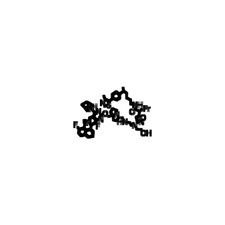 C#Cc1c(F)ccc2cccc(-c3ncc4c(N5CC6CCC(C5)N6)nc(OCC56CCCN5[C@@H](CNCCN(CCO)c5cc(C(C(=O)NCCCCC(C)c7ccc(-c8scnc8C)cc7)C(C)C)on5)CC6)nc4c3F)c12